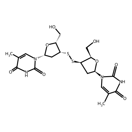 Cc1cn([C@H]2C[C@@H](SS[C@@H]3C[C@H](n4cc(C)c(=O)[nH]c4=O)O[C@@H]3CO)[C@@H](CO)O2)c(=O)[nH]c1=O